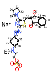 CCN(CCOS(=O)(=O)[O-])c1ccc(N=Nc2nc(N3CCCC3)c(C=C3C(=O)c4ccccc4C3=O)s2)cc1.[Na+]